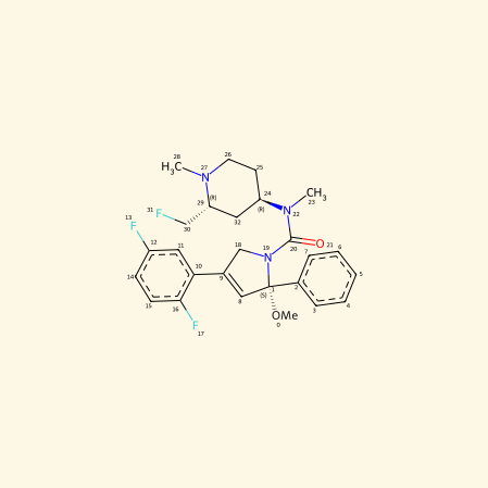 CO[C@]1(c2ccccc2)C=C(c2cc(F)ccc2F)CN1C(=O)N(C)[C@@H]1CCN(C)[C@@H](CF)C1